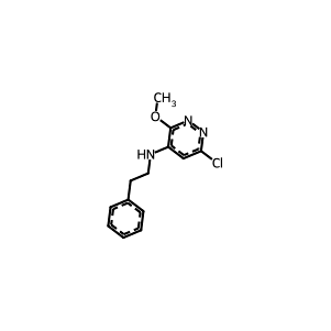 COc1nnc(Cl)cc1NCCc1ccccc1